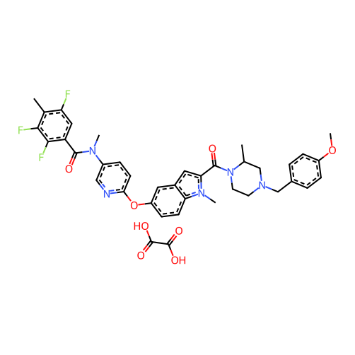 COc1ccc(CN2CCN(C(=O)c3cc4cc(Oc5ccc(N(C)C(=O)c6cc(F)c(C)c(F)c6F)cn5)ccc4n3C)C(C)C2)cc1.O=C(O)C(=O)O